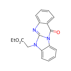 CCOC(=O)Cn1c2ccccc2n2c(=O)c3ccccc3nc12